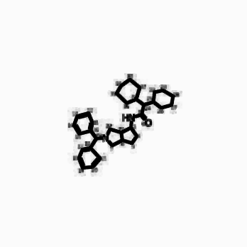 O=C(NC1CCC2CN(C(c3ccccc3)c3ccccc3)CC21)C(C1CCCCC1)C1CCCCC1